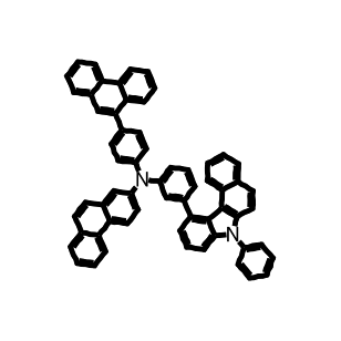 c1ccc(-n2c3cccc(-c4cccc(N(c5ccc(-c6cc7ccccc7c7ccccc67)cc5)c5ccc6c(ccc7ccccc76)c5)c4)c3c3c4ccccc4ccc32)cc1